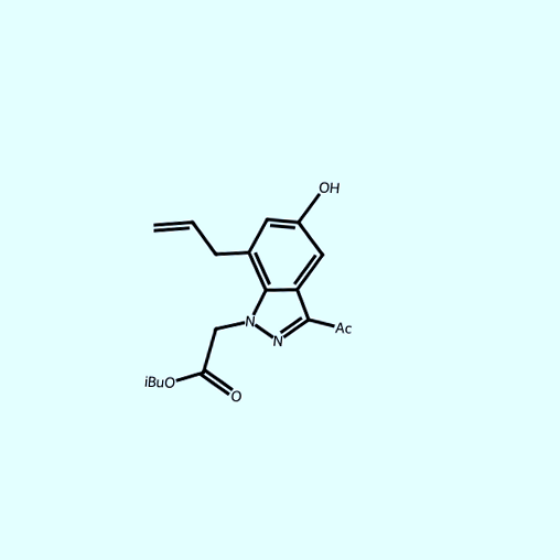 C=CCc1cc(O)cc2c(C(C)=O)nn(CC(=O)OCC(C)C)c12